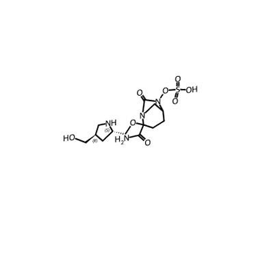 NC(=O)C1(OC[C@@H]2C[C@@H](CO)CN2)CCC2CN1C(=O)N2OS(=O)(=O)O